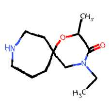 CCN1CC2(CCCNCC2)OC(C)C1=O